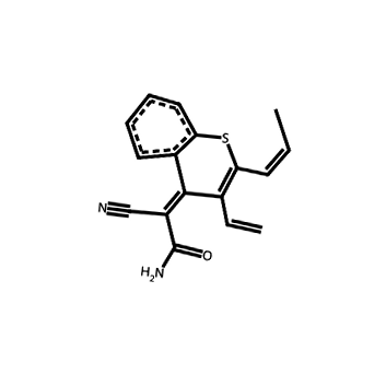 C=CC1=C(/C=C\C)Sc2ccccc2/C1=C(\C#N)C(N)=O